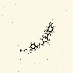 CCOC(=O)c1cccc(OCCC2CCN(c3nc4ccc(Br)cc4s3)CC2)c1